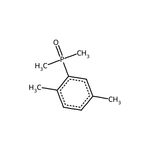 Cc1ccc(C)c(P(C)(C)=O)c1